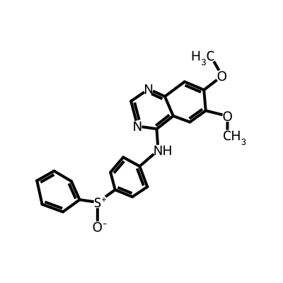 COc1cc2ncnc(Nc3ccc([S+]([O-])c4ccccc4)cc3)c2cc1OC